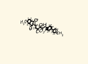 Cc1ccc2c(c1)C(=O)N(CC[C@H](C(=O)O)[C@H](O)CCc1ccc(-c3ccc(C)nc3)cc1)C2=O